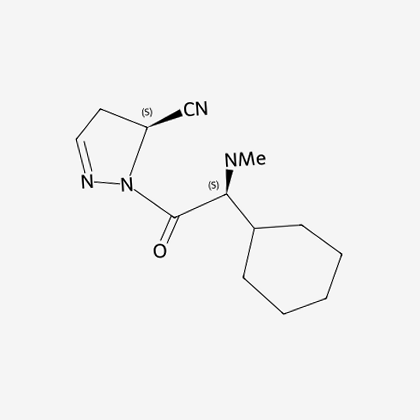 CN[C@H](C(=O)N1N=CC[C@H]1C#N)C1CCCCC1